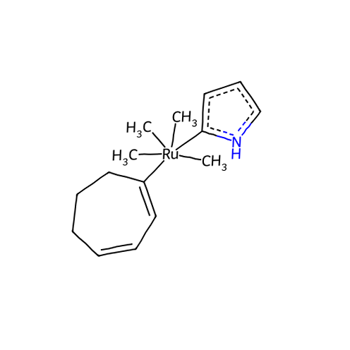 [CH3][Ru]([CH3])([CH3])([CH3])([C]1=CC=CCCC1)[c]1ccc[nH]1